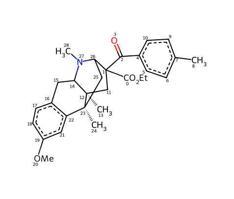 CCOC(=O)C1(C(=O)c2ccc(C)cc2)C[C@]2(C)C3Cc4ccc(OC)cc4[C@]2(C)CC1N3C